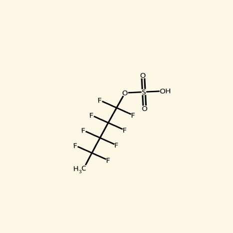 CC(F)(F)C(F)(F)C(F)(F)C(F)(F)OS(=O)(=O)O